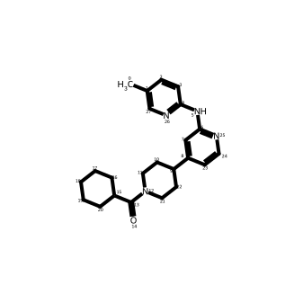 Cc1ccc(Nc2cc(C3CCN(C(=O)C4CCCCC4)CC3)ccn2)nc1